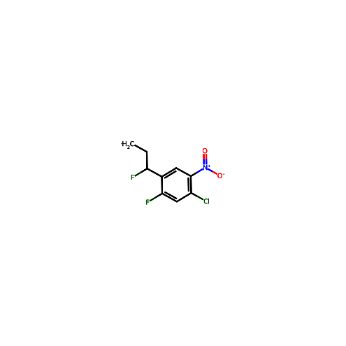 [CH2]CC(F)c1cc([N+](=O)[O-])c(Cl)cc1F